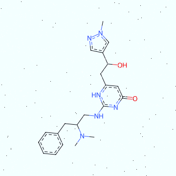 CN(C)C(CNc1nc(=O)cc(CC(O)c2cnn(C)c2)[nH]1)Cc1ccccc1